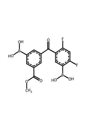 COC(=O)c1cc(B(O)O)cc(C(=O)c2cc(B(O)O)c(F)cc2F)c1